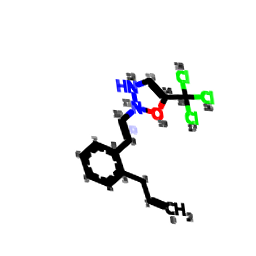 C=CCc1ccccc1/C=C/N1NC=C(C(Cl)(Cl)Cl)O1